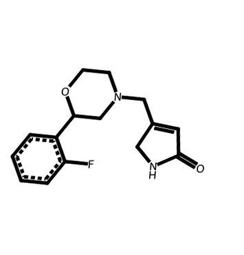 O=C1C=C(CN2CCOC(c3ccccc3F)C2)CN1